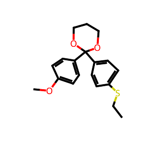 CCSc1ccc(C2(c3ccc(OC)cc3)OCCCO2)cc1